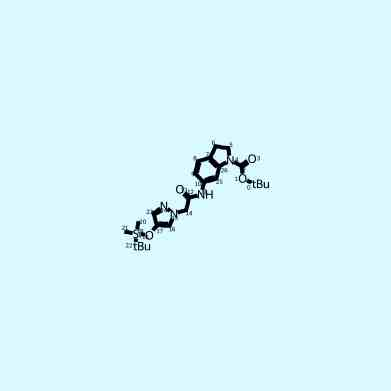 CC(C)(C)OC(=O)N1CCc2ccc(NC(=O)Cn3cc(O[Si](C)(C)C(C)(C)C)cn3)cc21